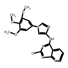 COc1cc(-n2cnc(Nc3nc(Cl)nc4ncccc34)c2)cc(OC)c1OC